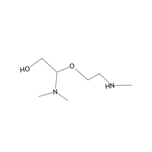 CNCCOC(CO)N(C)C